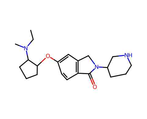 CCN(C)C1CCCC1Oc1ccc2c(c1)CN(C1CCCNC1)C2=O